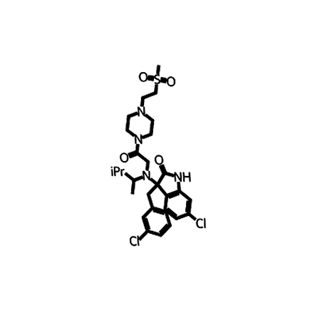 CC(C)C(C)N(CC(=O)N1CCN(CCS(C)(=O)=O)CC1)C1(Cc2cccc(Cl)c2)C(=O)Nc2cc(Cl)ccc21